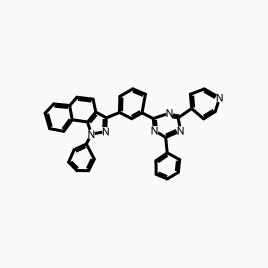 c1ccc(-c2nc(-c3ccncc3)nc(-c3cccc(-c4nn(-c5ccccc5)c5c4ccc4ccccc45)c3)n2)cc1